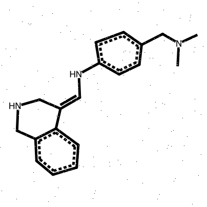 CN(C)Cc1ccc(NC=C2CNCc3ccccc32)cc1